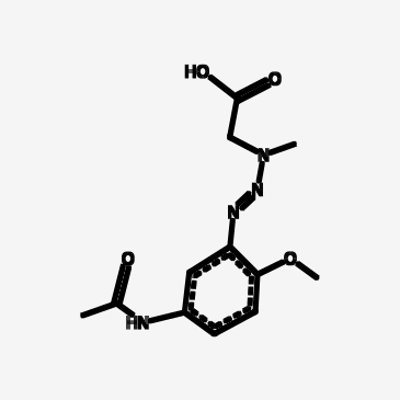 COc1ccc(NC(C)=O)cc1/N=N/N(C)CC(=O)O